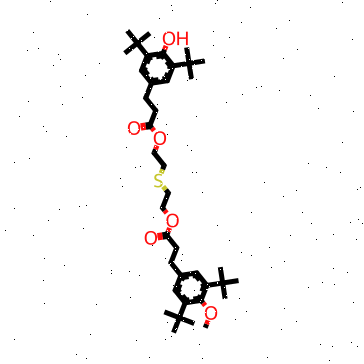 COc1c(C(C)(C)C)cc(CCC(=O)OCCSCCOC(=O)CCc2cc(C(C)(C)C)c(O)c(C(C)(C)C)c2)cc1C(C)(C)C